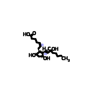 CCCCCC(C)(O)/C=C/[C@@H]1[C@@H](C/C=C\CCCC(=O)O)[C@@H](O)C[C@H]1O